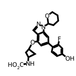 O=C(O)NC1CC(Oc2cc(-c3ccc(O)cc3F)cc3c2cnn3C2CCCCO2)C1